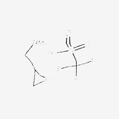 CNCC1CO1.O=S(=O)(O)C(F)(F)F